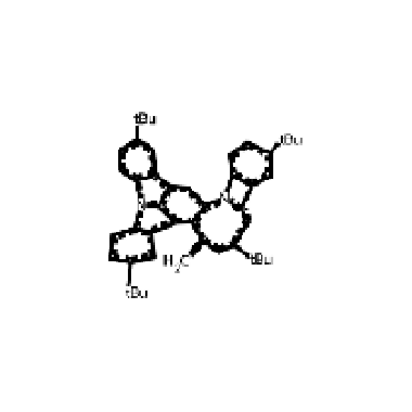 C=c1cc(C(C)(C)C)cc2n(c3cc4c5cc(C(C)(C)C)ccc5n5c6ccc(C(C)(C)C)cc6c(c13)c45)-c1ccc(C(C)(C)C)cc1-2